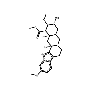 COC(=O)[C@@H]1[C@@H](OC)[C@H](O)CC2CN3CCc4c([nH]c5cc(OC)ccc45)[C@H]3C[C@@H]21